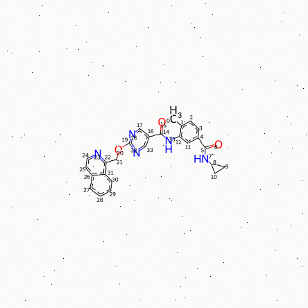 Cc1ccc(C(=O)NC2CC2)cc1NC(=O)c1cnc(OCc2nccc3ccccc23)nc1